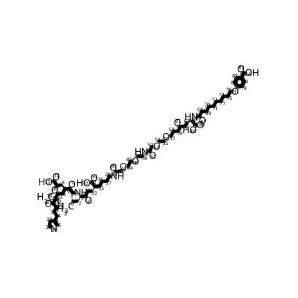 CCC[C@H](NCC(=O)[C@H](CCC(=O)O)CC(=O)C(C)(C)C(=O)CCCC1=CN=CC1)C(=O)CC[C@@H](CCCCNC(=O)COCCOCCNC(=O)COCCOCCCC(=O)CC[C@H](NC(=O)CCCCCCCCCOc1ccc(C(=O)O)cc1)C(=O)O)C(=O)O